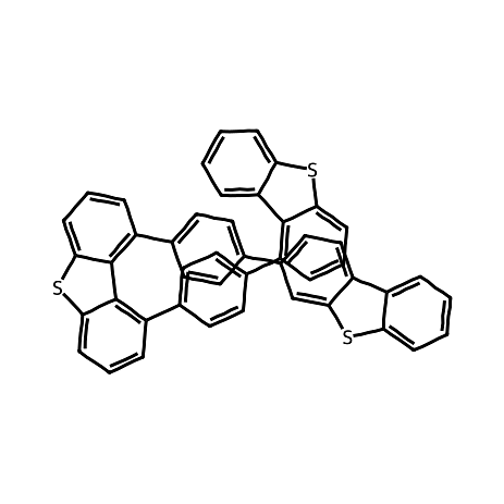 c1ccc2c(c1)sc1cc(-c3ccc(-c4cccc5sc6cccc(-c7ccc(-c8cccc9sc%10ccccc%10c89)cc7)c6c45)cc3)ccc12